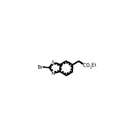 CCOC(=O)Cc1ccc2nc(Br)sc2c1